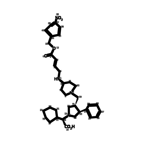 O=C(C=CCNC1CCN(C[C@H]2CN([C@@H](C(=O)O)C3CCCCC3)C[C@@H]2c2ccccc2)CC1)OCc1ccc([N+](=O)[O-])cc1